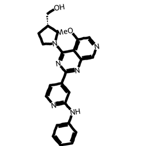 COc1cncc2nc(-c3ccnc(Nc4ccccc4)c3)nc(N3CC[C@H](CO)C3)c12